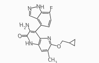 Cc1cc2[nH]c(=O)c(N)c(-c3ccc(F)c4[nH]ncc34)c2nc1OCC1CC1